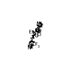 CCN(C(=O)CCSC(Cn1ccnc1)CC(F)(F)F)c1cn(-c2cccnc2)nc1Cl